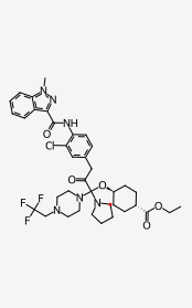 CCOC(=O)[C@H]1CC[C@H](OC(C(=O)Cc2ccc(NC(=O)c3nn(C)c4ccccc34)c(Cl)c2)(N2CCCC2)N2CCN(CC(F)(F)F)CC2)CC1